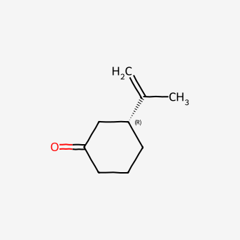 C=C(C)[C@@H]1CCCC(=O)C1